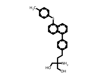 Cc1ccc(Sc2cccc3c(-c4ccc(CCC(N)(CO)CO)cc4)cccc23)cc1